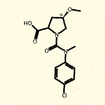 CO[C@@H]1CC(C(=O)O)N(C(=O)N(C)c2ccc(Cl)cc2)C1